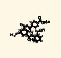 COC(=O)N1CCN(c2cc(=O)c3cc(C)cc(C(C)Nc4ccccc4CO)c3o2)CC1